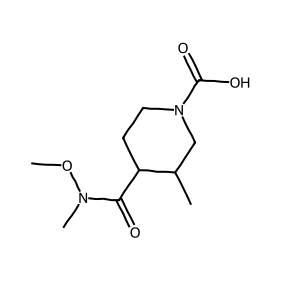 CON(C)C(=O)C1CCN(C(=O)O)CC1C